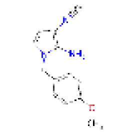 [C-]#[N+]c1ccn(Cc2ccc(OC)cc2)c1N